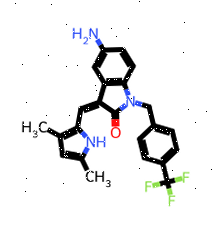 Cc1cc(C)c(/C=C2\C(=O)N(Cc3ccc(C(F)(F)F)cc3)c3ccc(N)cc32)[nH]1